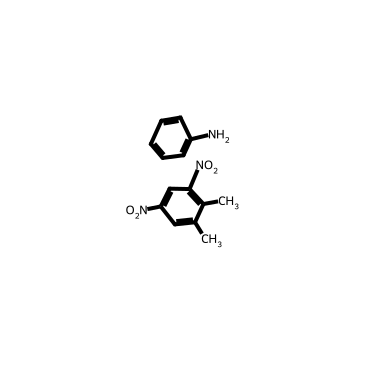 Cc1cc([N+](=O)[O-])cc([N+](=O)[O-])c1C.Nc1ccccc1